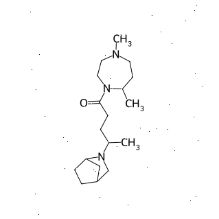 CC1CCN(C)CCN1C(=O)CCC(C)N1CC2CCC1C2